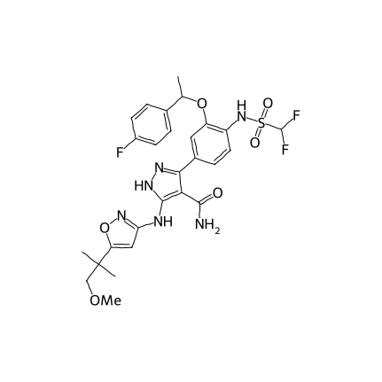 COCC(C)(C)c1cc(Nc2[nH]nc(-c3ccc(NS(=O)(=O)C(F)F)c(OC(C)c4ccc(F)cc4)c3)c2C(N)=O)no1